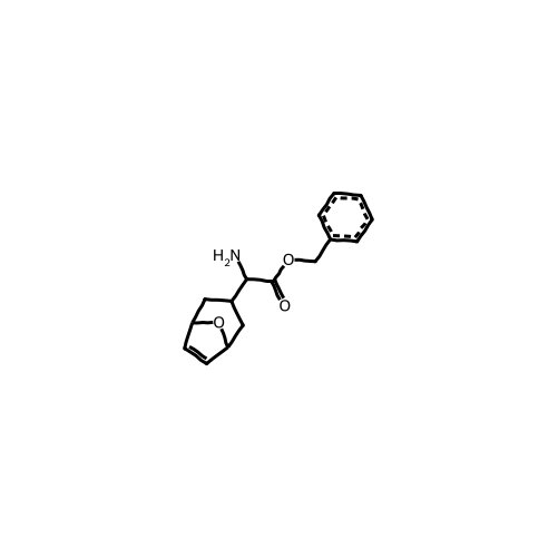 NC(C(=O)OCc1ccccc1)C1CC2C=CC(C1)O2